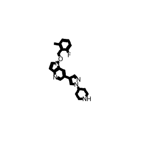 Cc1cccc(F)c1COn1ccc2ncc(-c3cnn(C4CCNCC4)c3)cc21